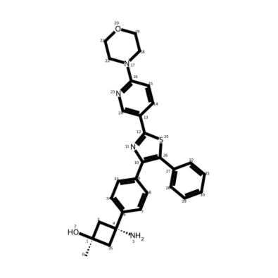 C[C@]1(O)C[C@@](N)(c2ccc(-c3nc(-c4ccc(N5CCOCC5)nc4)sc3-c3ccccc3)cc2)C1